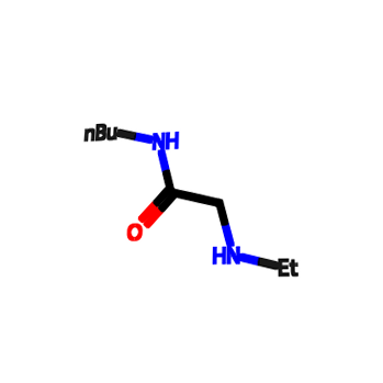 CCCCNC(=O)CNCC